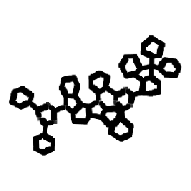 c1ccc(-c2nc(-c3ccccc3-n3c4ccccc4c4ccc5c(c6ccccc6n5-c5nc(-c6ccccc6)nc(-c6ccccc6)n5)c43)nc(-c3cccc4c3-c3ccccc3C4(c3ccccc3)c3ccccc3)n2)cc1